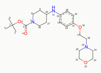 CC(C)(C)OC(=O)N1CCC(Nc2ccc(OCCN3CCOCC3)cc2)CC1